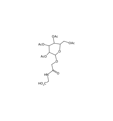 CC(=O)OCC1OC(OCC(=O)NCC(=O)O)C(OC(C)=O)C(OC(C)=O)C1OC(C)=O